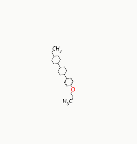 CCCOc1ccc(C2CCC(C3CCC(CC)CC3)CC2)cc1